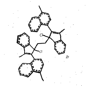 CC1=C(c2ccc(C)c3ccccc23)C(Cl)(CCC2(Cl)C(c3ccc(C)c4ccccc34)=C(C)c3ccccc32)c2ccccc21.[Zr]